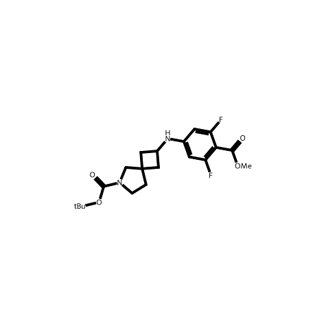 COC(=O)c1c(F)cc(NC2CC3(CCN(C(=O)OC(C)(C)C)C3)C2)cc1F